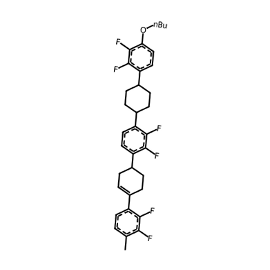 CCCCOc1ccc(C2CCC(c3ccc(C4CC=C(c5ccc(C)c(F)c5F)CC4)c(F)c3F)CC2)c(F)c1F